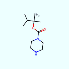 CC(C)C(C)([SiH3])OC(=O)N1CCNCC1